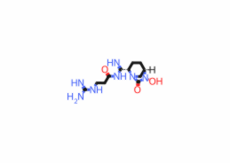 N=C(N)NCCC(=O)NC(=N)[C@@H]1CC[C@@H]2CN1C(=O)N2O